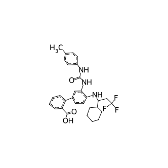 Cc1ccc(NC(=O)Nc2cc(-c3ccccc3C(=O)O)ccc2NC(CC(F)(F)F)C2CCCCC2)cc1